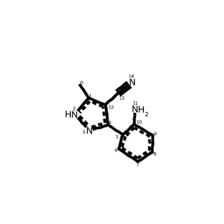 Cc1[nH]nc(-c2ccccc2N)c1C#N